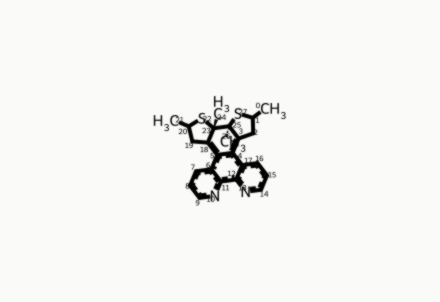 CC1CC2=c3c(c4cccnc4c4ncccc34)=C3CC(C)S[C@]3(C)[C@@]2(C)S1